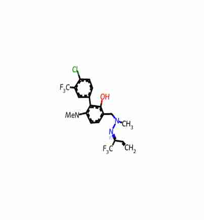 C=C/C(=N\N(C)Cc1ccc(NC)c(-c2ccc(Cl)c(C(F)(F)F)c2)c1O)C(F)(F)F